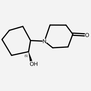 O=C1CCN(C2CCCC[C@@H]2O)CC1